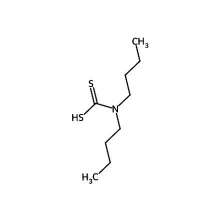 CCCCN(CCCC)C(=S)S